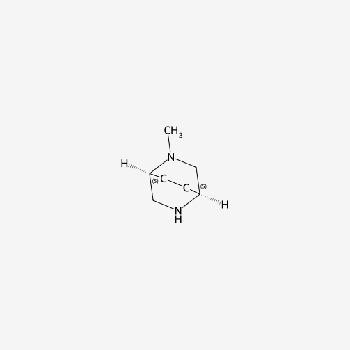 CN1C[C@@H]2CC[C@H]1CN2